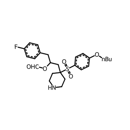 CCCCOc1ccc(S(=O)(=O)C2(CC(Cc3ccc(F)cc3)OC=O)CCNCC2)cc1